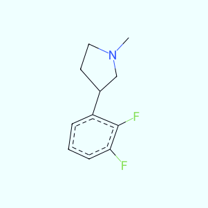 CN1CCC(c2cccc(F)c2F)C1